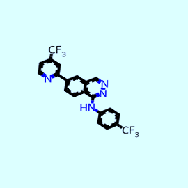 FC(F)(F)c1ccc(Nc2nncc3cc(-c4cc(C(F)(F)F)ccn4)ccc23)cc1